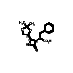 CC1(C)OC[C@H]([C@@H]2NC(=O)[C@@H]2N(Cc2ccccc2)C(=O)O)O1